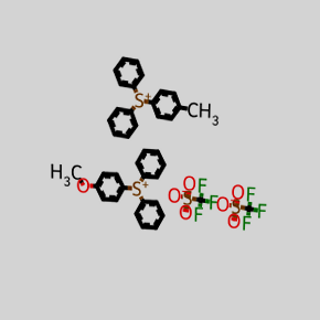 COc1ccc([S+](c2ccccc2)c2ccccc2)cc1.Cc1ccc([S+](c2ccccc2)c2ccccc2)cc1.O=S(=O)([O-])C(F)(F)F.O=S(=O)([O-])C(F)(F)F